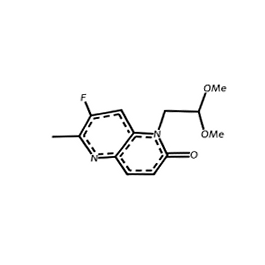 COC(Cn1c(=O)ccc2nc(C)c(F)cc21)OC